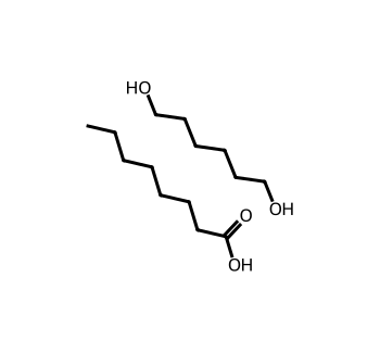 CCCCCCCC(=O)O.OCCCCCCO